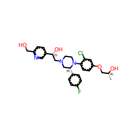 C[C@@H](O)COc1ccc(N2CCN(C[C@@H](O)c3ccc(CO)nc3)C[C@H]2c2ccc(F)cc2)c(Cl)c1